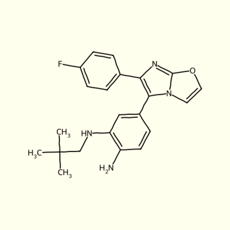 CC(C)(C)CNc1cc(-c2c(-c3ccc(F)cc3)nc3occn23)ccc1N